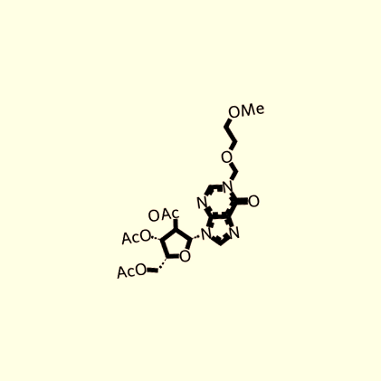 COCCOCn1cnc2c(ncn2[C@@H]2O[C@H](COC(C)=O)[C@H](OC(C)=O)C2OC(C)=O)c1=O